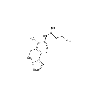 CCSC(=N)Nc1ccc(-n2cccn2)c(CN)c1C